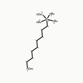 CCCCCCCCCCCCCCCCCCP(CCCC)(CCCC)(CCCC)CCCCCCCCCC